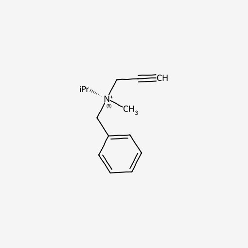 C#CC[N@@+](C)(Cc1ccccc1)C(C)C